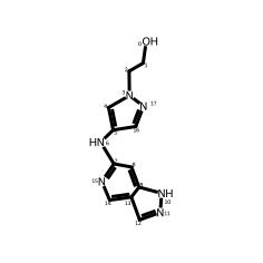 OCCn1cc(Nc2cc3[nH]ncc3cn2)cn1